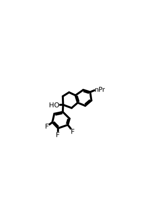 CCCc1ccc2c(c1)CCC(O)(c1cc(F)c(F)c(F)c1)C2